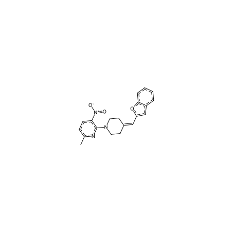 Cc1ccc([N+](=O)[O-])c(N2CCC(=Cc3cc4ccccc4o3)CC2)n1